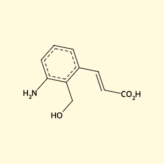 Nc1cccc(C=CC(=O)O)c1CO